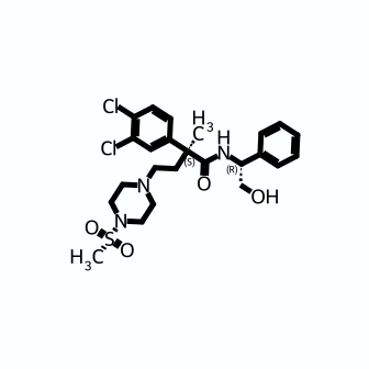 C[C@@](CCN1CCN(S(C)(=O)=O)CC1)(C(=O)N[C@@H](CO)c1ccccc1)c1ccc(Cl)c(Cl)c1